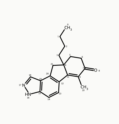 CCCCC12CCC(=O)C(C)=C1c1ccc3[nH]ncc3c1C2